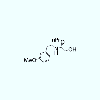 CCC[C@@H](Cc1cccc(OC)c1)NC(=O)CO